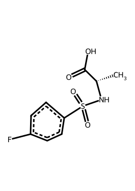 C[C@H](NS(=O)(=O)c1ccc(F)cc1)C(=O)O